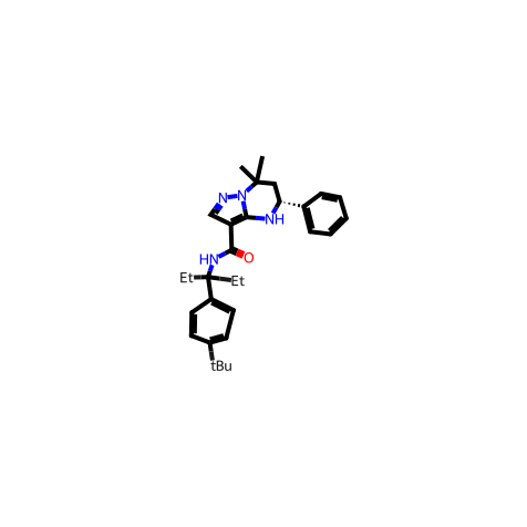 CCC(CC)(NC(=O)c1cnn2c1N[C@@H](c1ccccc1)CC2(C)C)c1ccc(C(C)(C)C)cc1